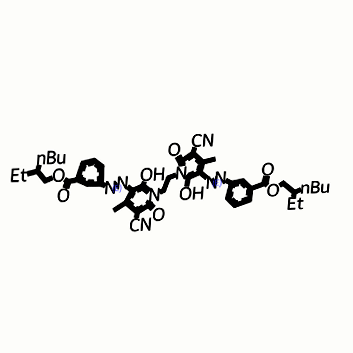 CCCCC(CC)COC(=O)c1cccc(/N=N/c2c(C)c(C#N)c(=O)n(CCn3c(O)c(/N=N/c4cccc(C(=O)OCC(CC)CCCC)c4)c(C)c(C#N)c3=O)c2O)c1